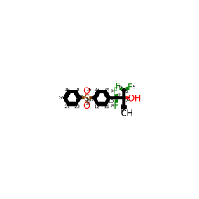 C#CC(O)(C(F)F)C(F)(F)c1ccc(S(=O)(=O)c2ccccc2)cc1